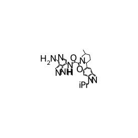 CC1CCC(c2ccc3c(cnn3C(C)C)c2)N(C(=O)C(=O)Nc2cnc(N)c3cn[nH]c23)C1